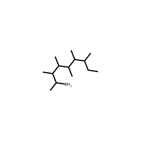 BC(C)C(C)C(C)C(C)C(C)C(C)CC